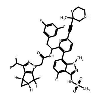 Cn1nc(NS(C)(=O)=O)c2c(Cl)ccc(-c3ccc(C#CC4(C)CNCCO4)nc3[C@H](Cc3cc(F)cc(F)c3)NC(=O)Cn3nc(C(F)F)c4c3C(F)(F)[C@@H]3C[C@H]43)c21